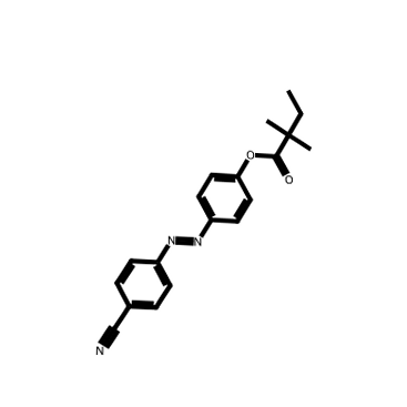 CCC(C)(C)C(=O)Oc1ccc(N=Nc2ccc(C#N)cc2)cc1